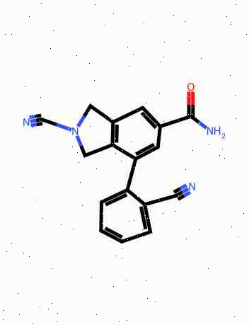 N#Cc1ccccc1-c1cc(C(N)=O)cc2c1CN(C#N)C2